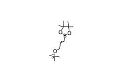 CC1(C)OB(C=CCO[Si](C)(C)C)OC1(C)C